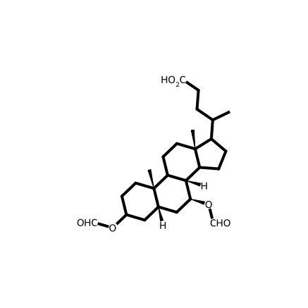 CC(CCC(=O)O)C1CCC2[C@H]3C(CC[C@]12C)[C@@]1(C)CCC(OC=O)C[C@H]1C[C@@H]3OC=O